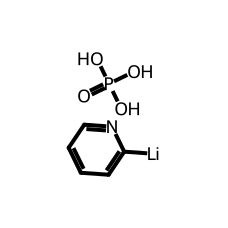 O=P(O)(O)O.[Li][c]1ccccn1